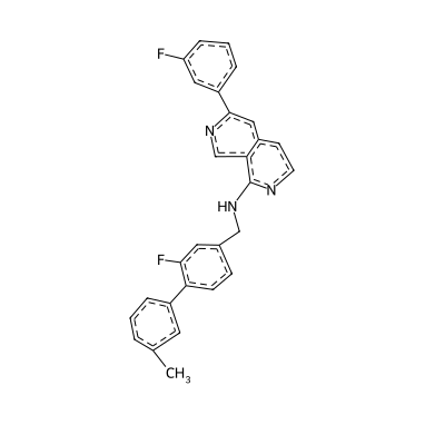 Cc1cccc(-c2ccc(CNc3nccc4cc(-c5cccc(F)c5)ncc34)cc2F)c1